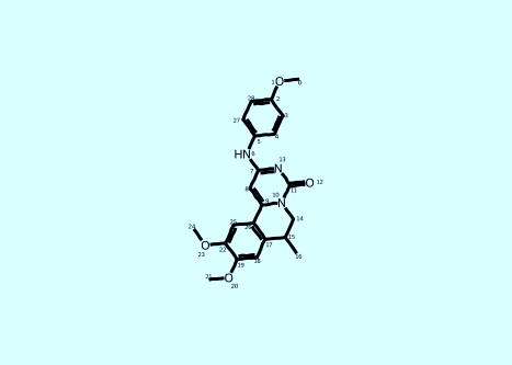 COc1ccc(Nc2cc3n(c(=O)n2)CC(C)c2cc(OC)c(OC)cc2-3)cc1